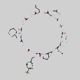 C=CC[C@]1(C)NC(=O)[C@@H]2CCCN2C(=O)[C@H](CCc2ccc(C(F)(F)F)c(Cl)c2)NC(=O)CN(C)C(=O)[C@H](CC2CCCCC2)N(C)C(=O)CN(C)C(=O)CN(C)C(=O)[C@H]([C@@H](C)CC)NC(=O)[C@H](CC(C)C)N(C)C(=O)C[C@@H](C)NC(=O)[C@H](C(C)C)N(C)C1=O